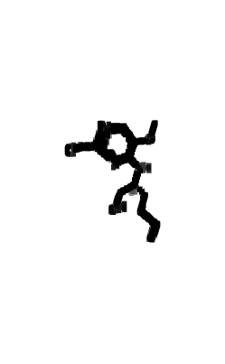 CCCC[C@H](CO)Nc1nc(Cl)ncc1OC